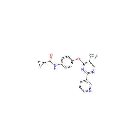 O=C(O)c1cnc(-c2cccnc2)nc1Oc1ccc(NC(=O)C2CC2)cc1